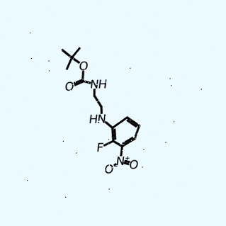 CC(C)(C)OC(=O)NCCNc1cccc([N+](=O)[O-])c1F